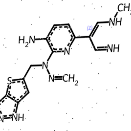 C=NN(Cc1cc2[nH]ncc2s1)c1nc(/C(C=N)=C/NC)ccc1N